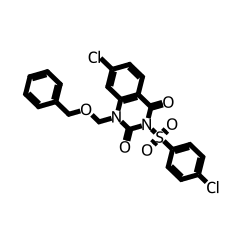 O=c1c2ccc(Cl)cc2n(COCc2ccccc2)c(=O)n1S(=O)(=O)c1ccc(Cl)cc1